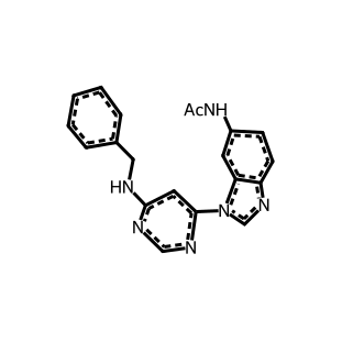 CC(=O)Nc1ccc2ncn(-c3cc(NCc4ccccc4)ncn3)c2c1